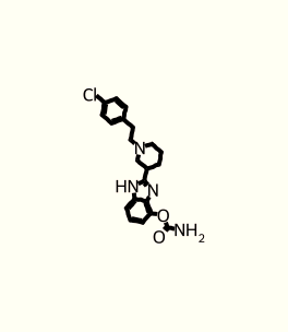 NC(=O)Oc1cccc2[nH]c(C3CCCN(CCc4ccc(Cl)cc4)C3)nc12